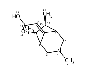 CC1C2CN(C)CC(C2=CC(=O)O)[C@@H]1C